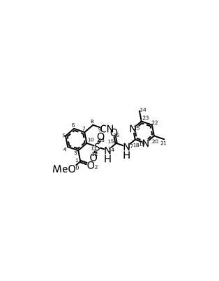 COC(=O)c1cccc(CC#N)c1S(=O)(=O)NC(=O)Nc1nc(C)cc(C)n1